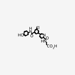 O=C(O)CCNC(=O)c1ccc(-c2cc(Cl)cc(C(=O)Nc3ccc(O)cc3)c2)cn1